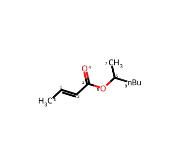 CC=CC(=O)OC(C)CCCC